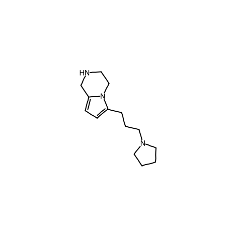 c1cc2n(c1CCCN1CCCC1)CCNC2